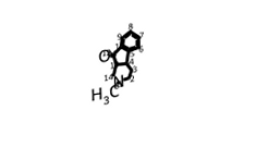 CN1CCC2c3ccccc3C(=O)C2C1